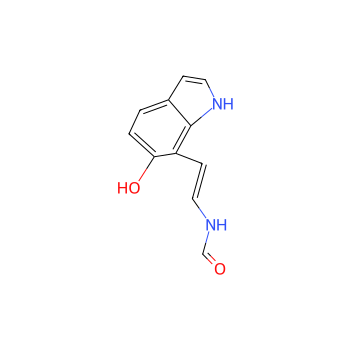 O=CNC=Cc1c(O)ccc2cc[nH]c12